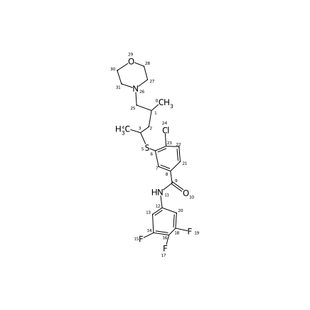 CC(CC(C)Sc1cc(C(=O)Nc2cc(F)c(F)c(F)c2)ccc1Cl)CN1CCOCC1